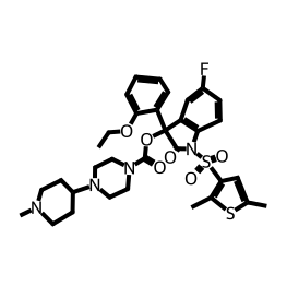 CCOc1ccccc1C1(OC(=O)N2CCN(C3CCN(C)CC3)CC2)C(=O)N(S(=O)(=O)c2cc(C)sc2C)c2ccc(F)cc21